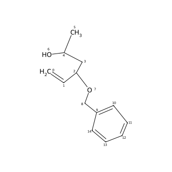 C=CC(CC(C)O)OCc1ccccc1